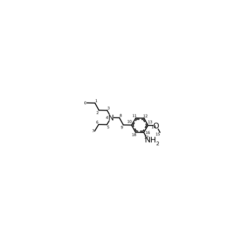 CCCCN(CCC)CCc1ccc(OC)c(N)c1